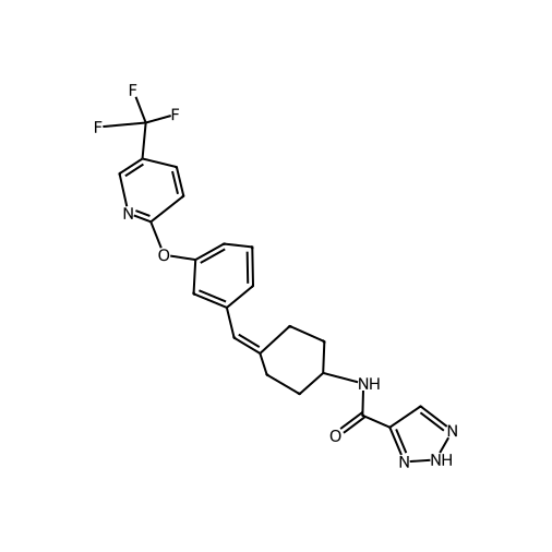 O=C(NC1CCC(=Cc2cccc(Oc3ccc(C(F)(F)F)cn3)c2)CC1)c1cn[nH]n1